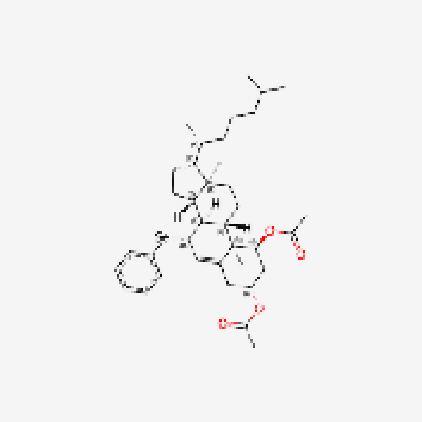 CC(=O)O[C@@H]1CC2=C[C@H]([Se]c3ccccc3)[C@H]3[C@@H]4CC[C@H]([C@H](C)CCCC(C)C)[C@@]4(C)CC[C@@H]3[C@@]2(C)[C@@H](OC(C)=O)C1